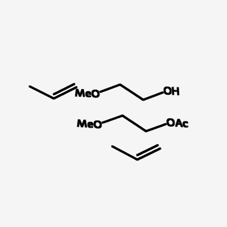 C=CC.C=CC.COCCO.COCCOC(C)=O